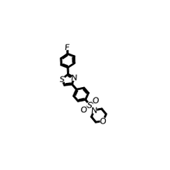 O=S(=O)(c1ccc(-c2csc(-c3ccc(F)cc3)n2)cc1)N1CCOCC1